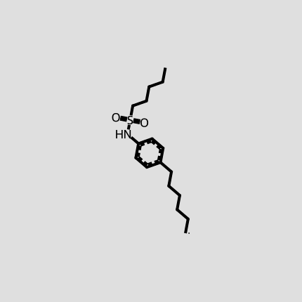 [CH2]CCCCCc1ccc(NS(=O)(=O)CCCCC)cc1